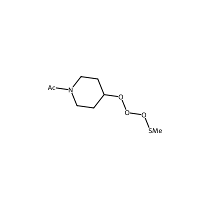 CSOOOC1CCN(C(C)=O)CC1